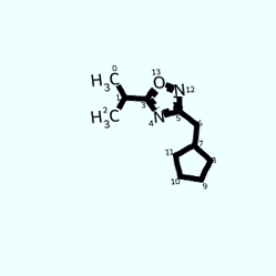 CC(C)c1nc(CC2CCCC2)no1